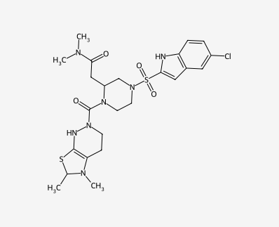 CC1SC2=C(CCN(C(=O)N3CCN(S(=O)(=O)c4cc5cc(Cl)ccc5[nH]4)CC3CC(=O)N(C)C)N2)N1C